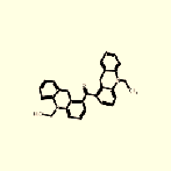 CCN1c2ccccc2Cc2c(C(=O)c3cccc4c3Cc3ccccc3N4CC)cccc21